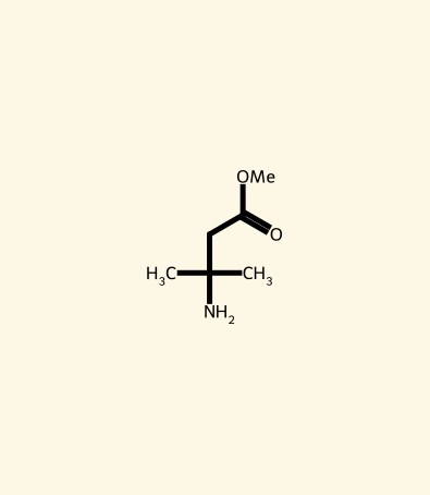 COC(=O)CC(C)(C)N